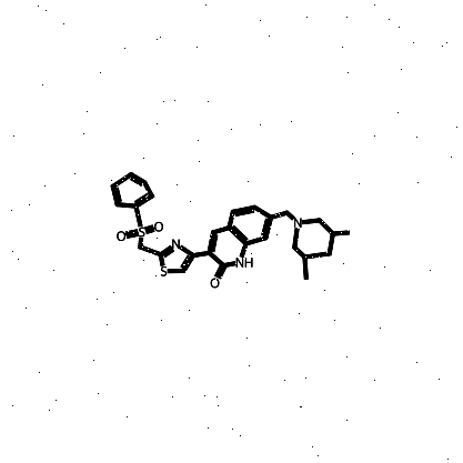 CC1CC(C)CN(Cc2ccc3cc(-c4csc(CS(=O)(=O)c5ccccc5)n4)c(=O)[nH]c3c2)C1